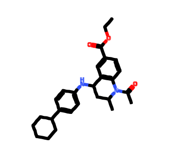 CCOC(=O)c1ccc2c(c1)C(Nc1ccc(C3CCCCC3)cc1)CC(C)N2C(C)=O